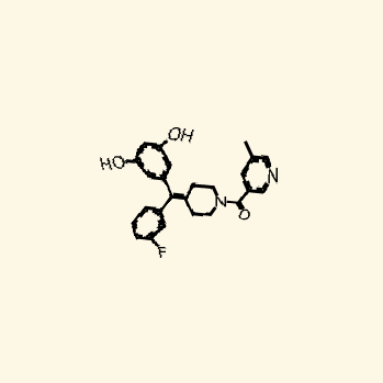 Cc1cncc(C(=O)N2CCC(=C(c3cc(O)cc(O)c3)c3cccc(F)c3)CC2)c1